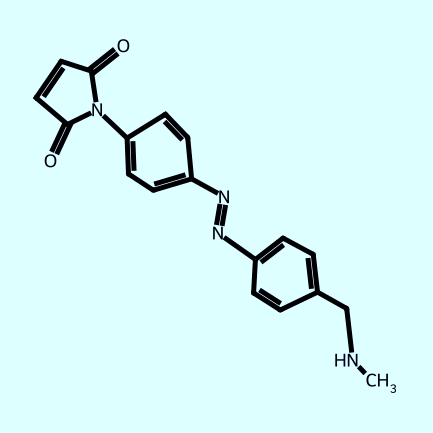 CNCc1ccc(N=Nc2ccc(N3C(=O)C=CC3=O)cc2)cc1